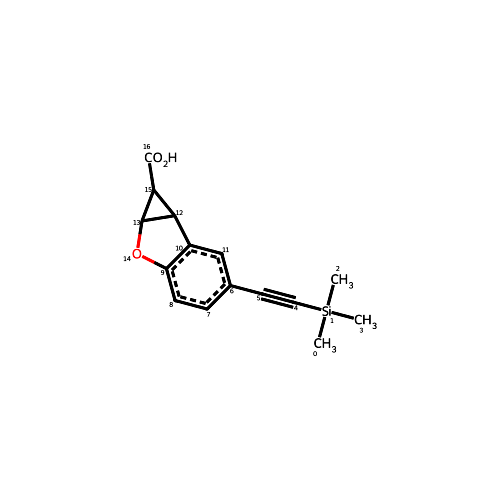 C[Si](C)(C)C#Cc1ccc2c(c1)C1C(O2)C1C(=O)O